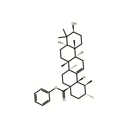 C[C@H]1[C@H](C)CC[C@]2(C(=O)Oc3ccccc3)CC[C@]3(C)C(=CC[C@@H]4[C@@]5(C)CC[C@H](O)C(C)(C)[C@@H]5CC[C@]43C)[C@H]12